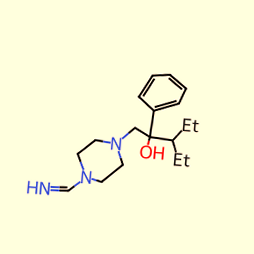 CCC(CC)C(O)(CN1CCN(C=N)CC1)c1ccccc1